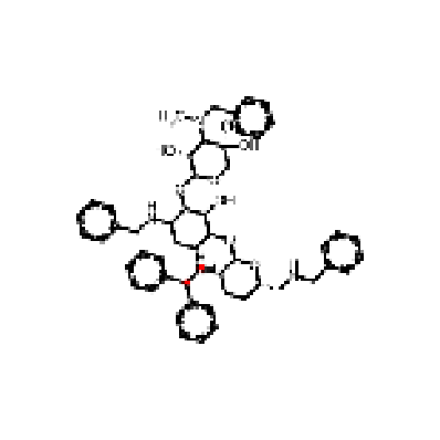 CN(Cc1ccccc1)[C@@H]1[C@@H](O)C(OC2C(NCc3ccccc3)C[C@H](NCc3ccccc3)C(OC3O[C@H](CNCc4ccccc4)CC[C@H]3NCc3ccccc3)[C@@H]2O)OC[C@]1(C)O